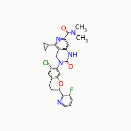 CN(C)C(=O)c1cc2c(c(C3CC3)n1)CN(c1cc3c(cc1Cl)CCC(c1ncccc1F)O3)C(=O)N2